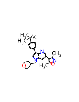 CC(=O)C(C)(C)c1ccc(-c2cn(CC3CCOCC3)c3cc(-c4c(C)noc4C)cnc23)cc1